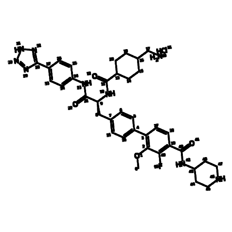 COc1c(-c2ccc(C[C@H](NC(=O)C3CCC(CN)CC3)C(=O)Nc3ccc(-c4nn[nH]n4)cc3)cc2)ccc(C(=O)NC2CCNCC2)c1F.Cl